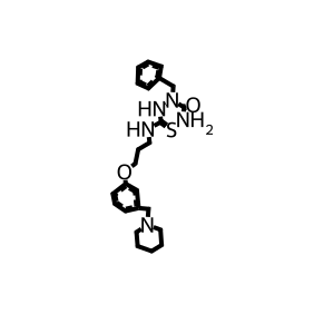 NC(=O)N(Cc1ccccc1)NC(=S)NCCCOc1cccc(CN2CCCCC2)c1